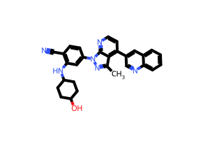 Cc1nn(-c2ccc(C#N)c(NC3CCC(O)CC3)c2)c2nccc(-c3cnc4ccccc4c3)c12